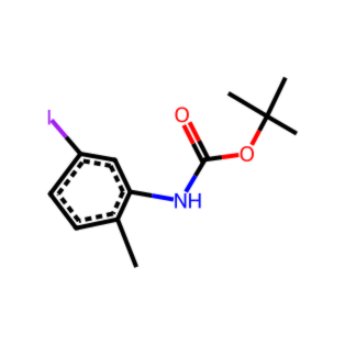 Cc1ccc(I)cc1NC(=O)OC(C)(C)C